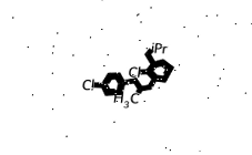 CC(C)Cc1cccc(CC(C)Cc2ccc(Cl)cc2)c1Cl